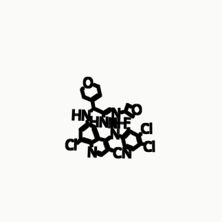 N#Cc1cnc2c(Cl)cc(N[C@@H](C3=CCOCC3)C3=CN(C4COC4)NN3)cc2c1Nc1ccc(Cl)c(Cl)c1F